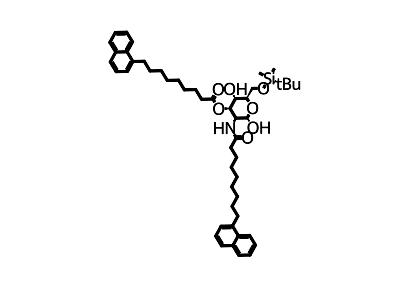 CC(C)(C)[Si](C)(C)OC[C@H]1O[C@H](O)[C@@H](NC(=O)CCCCCCCCc2cccc3ccccc23)[C@@H](OC(=O)CCCCCCCCc2cccc3ccccc23)[C@@H]1O